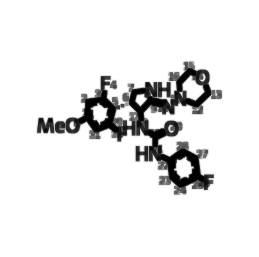 COc1cc(F)c([C@@H]2CN/C(=N\N3CCOCC3)C2NC(=O)Nc2ccc(F)cc2)c(F)c1